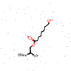 CCCCCCC(CCC)COC(=O)CCCCCCCO